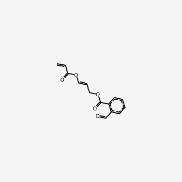 C=CC(=O)OC=CCOC(=O)c1ccccc1C=O